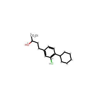 CCOC(=O)C(O)CCc1ccc(C2CCCCC2)c(Cl)c1